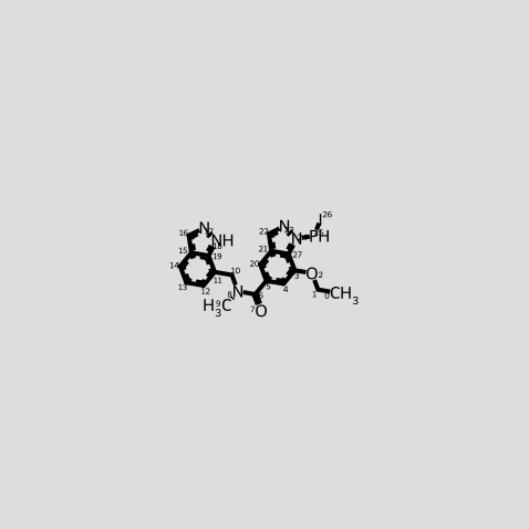 CCOc1cc(C(=O)N(C)Cc2cccc3cn[nH]c23)cc2cnn(PI)c12